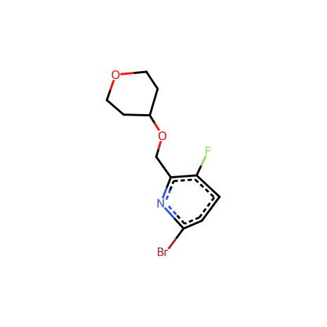 Fc1ccc(Br)nc1COC1CCOCC1